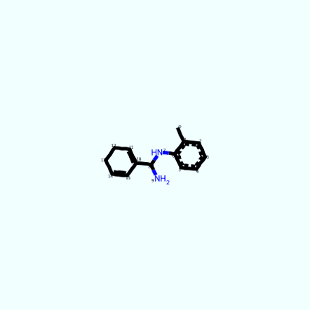 Cc1ccccc1NC(N)C1=CCCC=C1